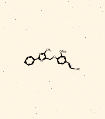 COc1cc(/C=C/C=O)ccc1OCc1nc(-c2ccccc2)oc1C